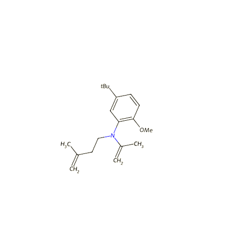 C=C(C)CCN(C(=C)C)c1cc(C(C)(C)C)ccc1OC